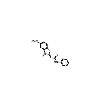 COc1ccc2c(c1)N(C)/C(=C/C(=O)Nc1ccccc1)S2